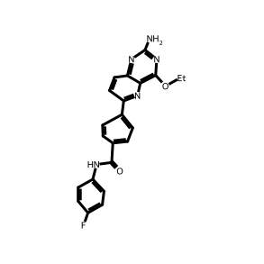 CCOc1nc(N)nc2ccc(-c3ccc(C(=O)Nc4ccc(F)cc4)cc3)nc12